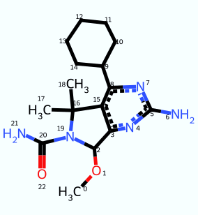 COC1c2nc(N)nc(C3CCCCC3)c2C(C)(C)N1C(N)=O